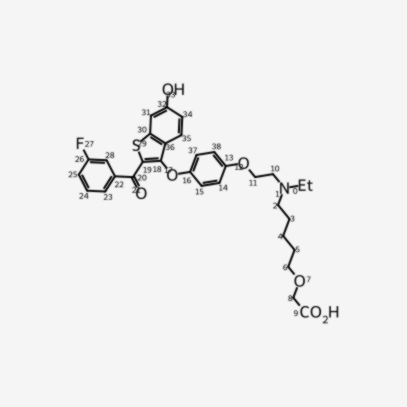 CCN(CCCCCOCC(=O)O)CCOc1ccc(Oc2c(C(=O)c3cccc(F)c3)sc3cc(O)ccc23)cc1